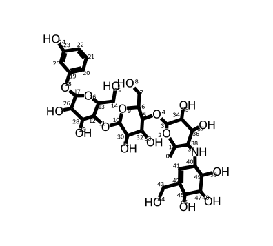 CC1OC(OC2C(CO)OC(OC3C(CO)OC(Oc4cccc(O)c4)C(O)C3O)C(O)C2O)C(O)C(O)C1NC1C=C(CO)C(O)C(O)C1O